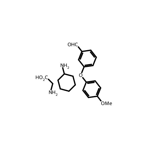 COc1ccc(Oc2cccc(C=O)c2)cc1.NC1CCCCC1.NCC(=O)O